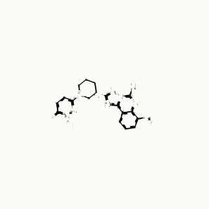 COc1cccc2c1nc(N)n1nc([C@@H]3CCCN(c4ccc(=O)n(C)n4)C3)nc21